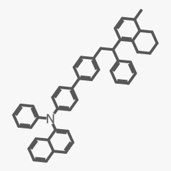 CC1C=CC(C(Cc2ccc(-c3ccc(N(C4=CC=CC5C=CC=CC45)c4ccccc4)cc3)cc2)c2ccccc2)=C2CCCCC21